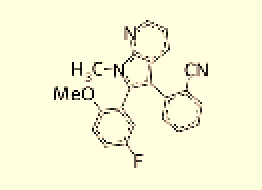 COc1ccc(F)cc1-c1c(-c2ccccc2C#N)c2cccnc2n1C